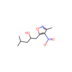 Cc1noc(CC(O)CC(C)C)c1[N+](=O)[O-]